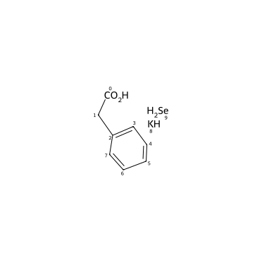 O=C(O)Cc1ccccc1.[KH].[SeH2]